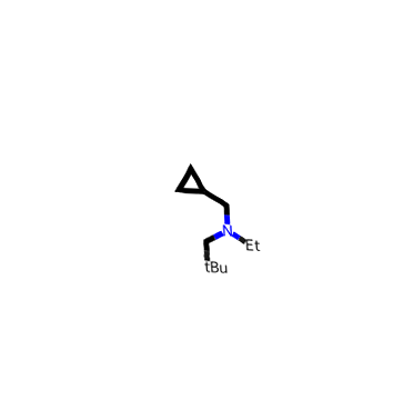 CCN(CC1CC1)CC(C)(C)C